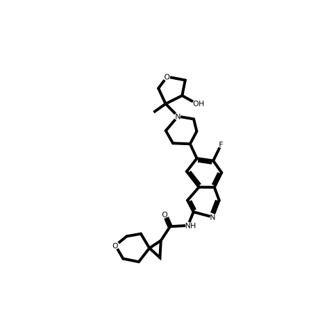 CC1(N2CCC(c3cc4cc(NC(=O)C5CC56CCOCC6)ncc4cc3F)CC2)COCC1O